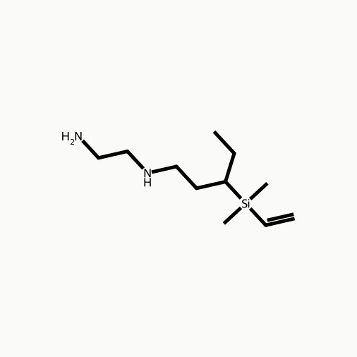 C=C[Si](C)(C)C(CC)CCNCCN